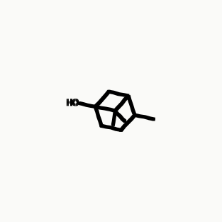 CC1CCC2(O)CC1C2(C)C